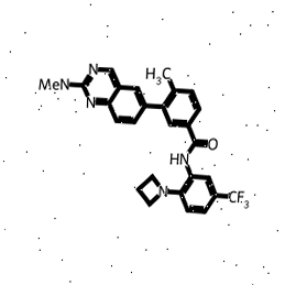 CNc1ncc2cc(-c3cc(C(=O)Nc4cc(C(F)(F)F)ccc4N4CCC4)ccc3C)ccc2n1